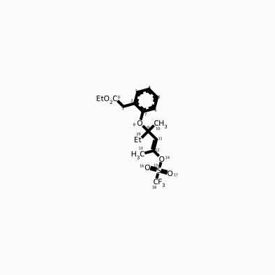 CCOC(=O)Cc1ccccc1OC(C)(/C=C(\C)OS(=O)(=O)C(F)(F)F)CC